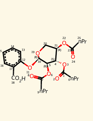 CCCC(=O)O[C@@H]1[C@@H](OC(=O)CCC)[C@@H](Oc2ccccc2C(=O)O)OC[C@H]1OC(=O)CCC